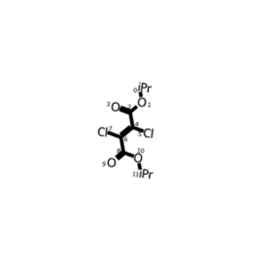 CC(C)OC(=O)C(Cl)=C(Cl)C(=O)OC(C)C